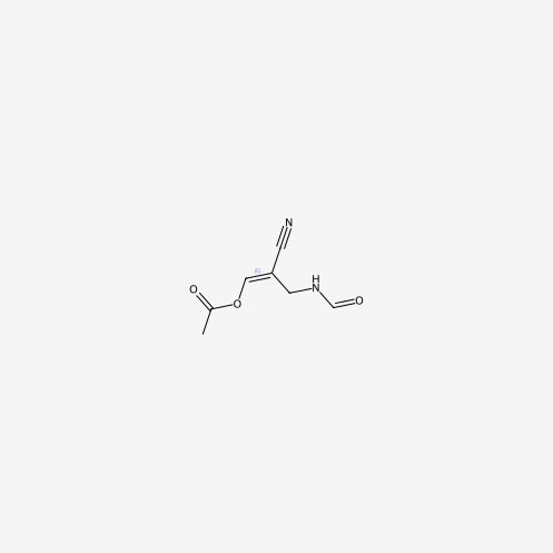 CC(=O)O/C=C(/C#N)CNC=O